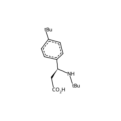 CC(C)(C)N[C@@H](CC(=O)O)c1ccc(C(C)(C)C)cc1